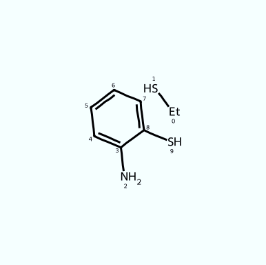 CCS.Nc1ccccc1S